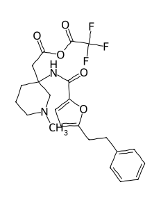 CN1CCCC(CC(=O)OC(=O)C(F)(F)F)(NC(=O)c2ccc(CCc3ccccc3)o2)C1